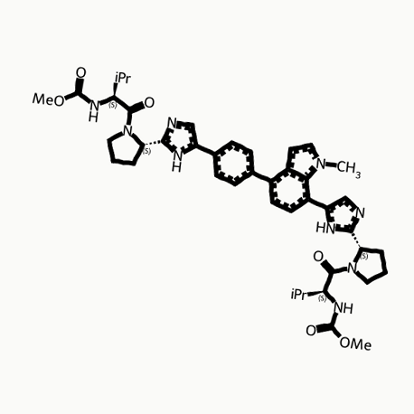 COC(=O)N[C@H](C(=O)N1CCC[C@H]1c1ncc(-c2ccc(-c3ccc(-c4cnc([C@@H]5CCCN5C(=O)[C@@H](NC(=O)OC)C(C)C)[nH]4)c4c3ccn4C)cc2)[nH]1)C(C)C